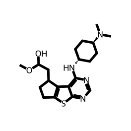 COC(O)CC1CCc2sc3ncnc(N[C@H]4CC[C@H](N(C)C)CC4)c3c21